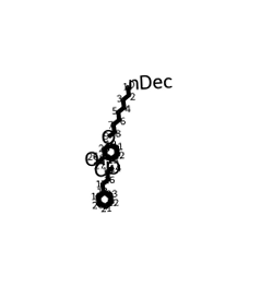 CCCCCCCCCCCCCCCCCCOc1ccc(OCCCc2ccccc2)c(C(=O)Cl)c1